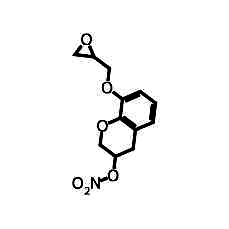 O=[N+]([O-])OC1COc2c(cccc2OCC2CO2)C1